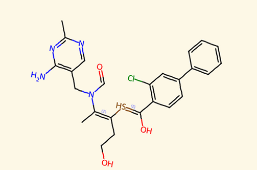 C/C(=C(CCO)/[SH]=C(\O)c1ccc(-c2ccccc2)cc1Cl)N(C=O)Cc1cnc(C)nc1N